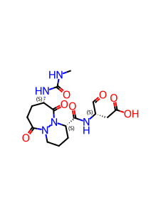 CNC(=O)N[C@H]1CCC(=O)N2CCC[C@@H](C(=O)N[C@H](C=O)CC(=O)O)N2C1=O